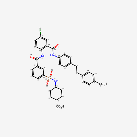 O=C(O)c1ccc(CCc2ccc(NC(=O)c3cc(F)ccc3NC(=O)c3cccc(S(=O)(=O)N[C@H]4CC[C@H](C(=O)O)CC4)c3)cc2)cc1